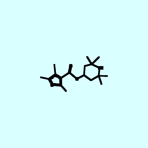 Cc1oc(C)c(C(=O)OC2CC(C)(C)NC(C)(C)C2)c1C